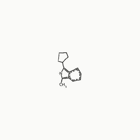 CC1=c2ccccc2=C(C2CCCC2)[N]1